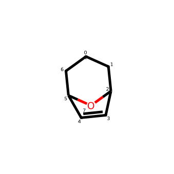 [CH]1CC2C=CC(C1)O2